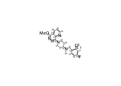 COc1nnc(N2CCC(N(C)Cc3ccc(F)cc3C(F)(F)F)CC2)c2ncccc12